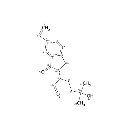 C=Cc1ccc2c(c1)C(=O)N(C(C=O)CCC(C)(C)O)C2